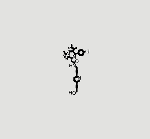 Cc1sc2c(c1C)C(c1ccc(Cl)cc1)=N[C@@H](CC(=O)NCC#Cc1ccc(C#CCO)cn1)c1nnc(C)n1-2